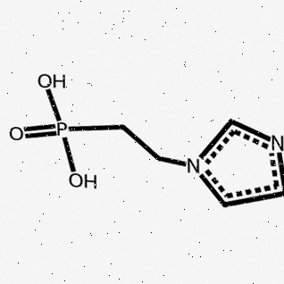 O=P(O)(O)CCn1ccnc1